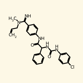 C=CCN(C)C(=N)c1ccc(NC(=O)C(NC(=O)Nc2ccc(Cl)cc2)c2ccccc2)cc1